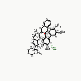 C/[C](c1ccc2ccccc2c1)=[Zr+2](\[C]1=CC(C2(C)CCCCC2)=CC1C)[c]1c(C)c(C(C)(C)C)cc2c1Cc1cc(C)c(C(C)(C)C)cc1-2.[Cl-].[Cl-]